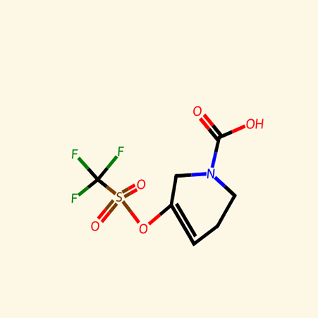 O=C(O)N1CCC=C(OS(=O)(=O)C(F)(F)F)C1